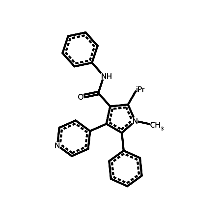 CC(C)c1c(C(=O)Nc2ccccc2)c(-c2ccncc2)c(-c2ccccc2)n1C